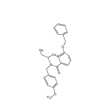 COc1ccc(CN(C(=O)c2cccc(OCc3ccccc3)n2)C(C)CO)cc1